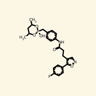 CC1CC(C)O[P](O)(Cc2ccc(NC(=O)CCc3cnoc3-c3ccc(F)cc3)cc2)O1